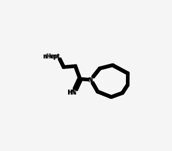 CCCCCCCCCC(=N)N1CCCCCCC1